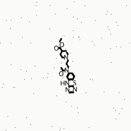 CCOC(=O)C1CCN(CCCN(C(C)=O)c2ccc3c(c2)Nc2nccnc2S3)CC1